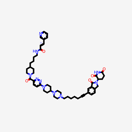 O=C(/C=C/c1cccnc1)NCCCCC1CCN(C(=O)c2ccc(N3CCC(N4CCN(CCCCCC#Cc5ccc6c(c5)C(=O)N(C5CCC(=O)NC5=O)C6)CC4)CC3)nn2)CC1